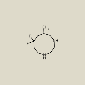 CC1CNCCNCCC(F)(F)C1